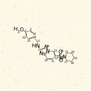 Cc1ccc(CNc2nc3ccc(S(=O)(=O)N4CCCCC4)cn3n2)cc1